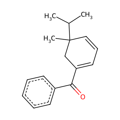 CC(C)C1(C)C=CC=C(C(=O)c2ccccc2)C1